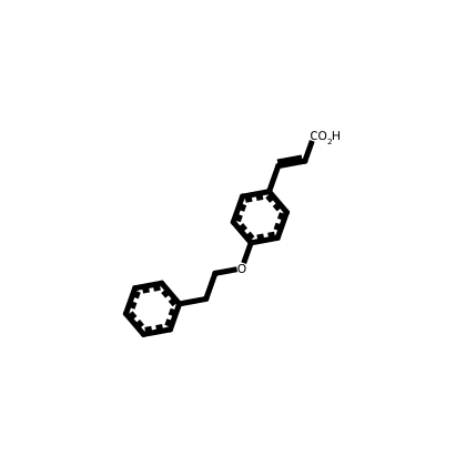 O=C(O)C=Cc1ccc(OCCc2ccccc2)cc1